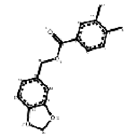 Cc1ccc(C(=O)OCc2ccc3c(c2)OCO3)cc1C